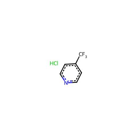 Cl.FC(F)(F)c1ccncc1